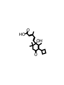 CC(C=CC1(O)C(C)=C(C2CCC2)C(=O)CC1(C)C)=CC(=O)O